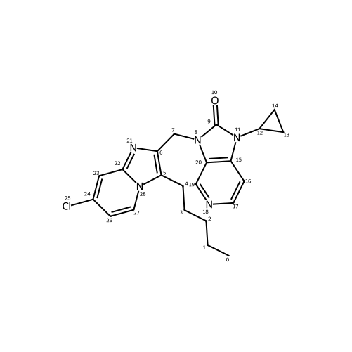 CCCCCc1c(Cn2c(=O)n(C3CC3)c3ccncc32)nc2cc(Cl)ccn12